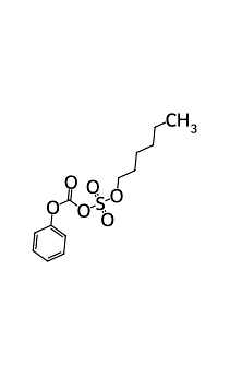 CCCCCCOS(=O)(=O)OC(=O)Oc1ccccc1